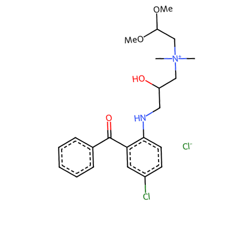 COC(C[N+](C)(C)CC(O)CNc1ccc(Cl)cc1C(=O)c1ccccc1)OC.[Cl-]